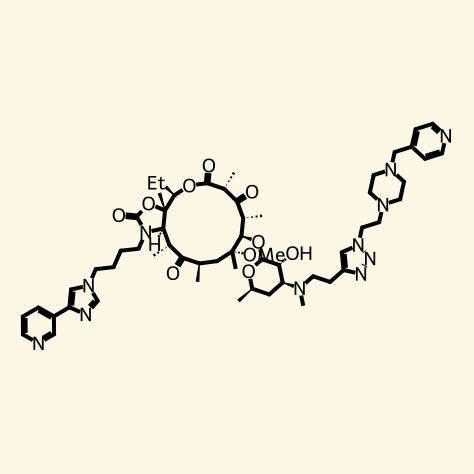 CC[C@H]1OC(=O)[C@H](C)C(=O)[C@H](C)[C@@H](O[C@@H]2O[C@H](C)C[C@H](N(C)CCc3cn(CCN4CCN(Cc5ccncc5)CC4)nn3)[C@H]2O)[C@](C)(OC)C[C@@H](C)C(=O)[C@H](C)[C@H]2N(CCCCn3cnc(-c4cccnc4)c3)C(=O)O[C@]12C